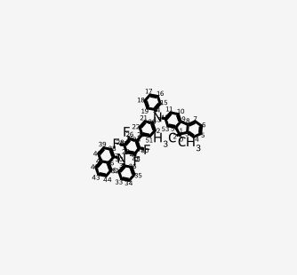 CC1(C)c2ccccc2-c2ccc(N(c3ccccc3)c3ccc(-c4c(F)c(F)c(N(c5ccccc5)c5cccc6ccccc56)c(F)c4F)cc3)cc21